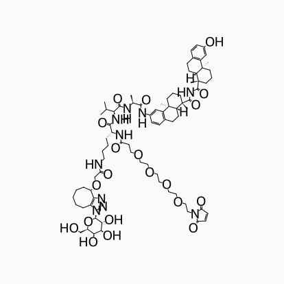 CC(C)[C@H](NC(=O)[C@@H](CCCCNC(=O)COC1CCCCCc2c1nnn2[C@@H]1O[C@H](CO)[C@H](O)[C@H](O)[C@H]1O)NC(=O)CCOCCOCCOCCOCCN1C(=O)C=CC1=O)C(=O)N[C@@H](C)C(=O)Nc1ccc2c(c1)[C@@]1(C)CCC[C@](C)(C(=O)NC(=O)[C@@]3(C)CCC[C@]4(C)c5cc(O)ccc5CC[C@@H]34)[C@@H]1CC2